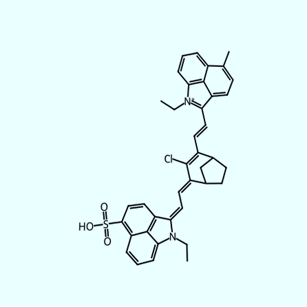 CCn1/c(=C/C=C2C(Cl)=C(/C=C/C3=[N+](CC)c4cccc5c(C)ccc3c45)C3CCC/2C3)c2ccc(S(=O)(=O)O)c3cccc1c32